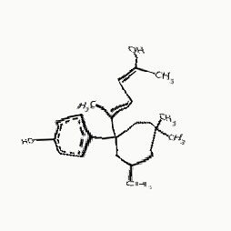 C/C(O)=C\C=C(/C)C1(c2ccc(O)cc2)CC(C)CC(C)(C)C1